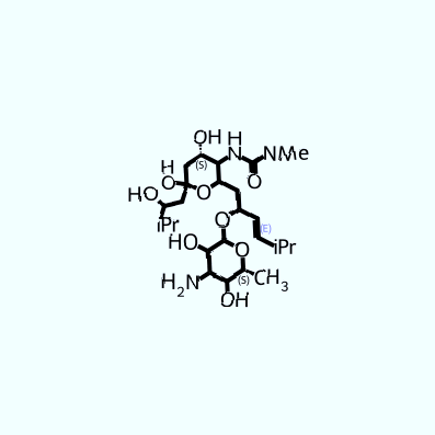 CNC(=O)NC1C(CC(/C=C/C(C)C)OC2O[C@@H](C)C(O)C(N)C2O)OC(O)(CC(O)C(C)C)C[C@@H]1O